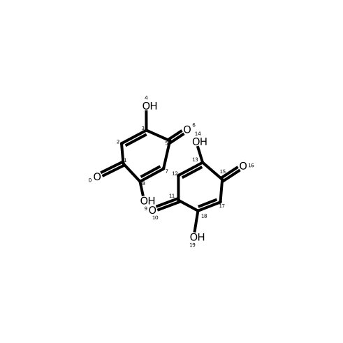 O=C1C=C(O)C(=O)C=C1O.O=C1C=C(O)C(=O)C=C1O